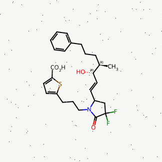 C[C@H](CCCc1ccccc1)[C@@H](O)C=CC1CC(F)(F)C(=O)N1CCCc1ccc(C(=O)O)s1